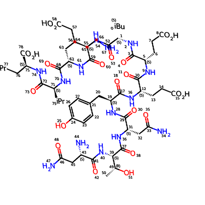 CC[C@H](C)[C@H](NC(=O)[C@H](CCC(=O)O)NC(=O)[C@H](CCC(=O)O)NC(=O)[C@H](Cc1ccc(O)cc1)NC(=O)[C@H](CC(N)=O)NC(=O)[C@@H](NC(=O)[C@@H](N)CC(N)=O)[C@@H](C)O)C(=O)N[C@@H](CCC(=O)O)C(=O)N[C@@H](CCCCN)C(=O)N[C@H](C(=O)N[C@@H](CC(C)C)C(=O)O)C(C)C